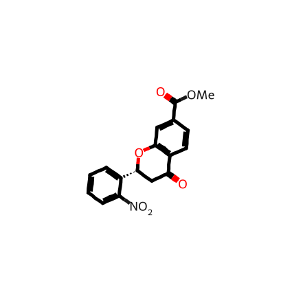 COC(=O)c1ccc2c(c1)O[C@@H](c1ccccc1[N+](=O)[O-])CC2=O